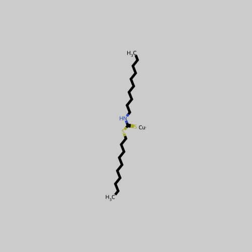 CCCCCCCCCCNC(=S)SCCCCCCCCCC.[Cu]